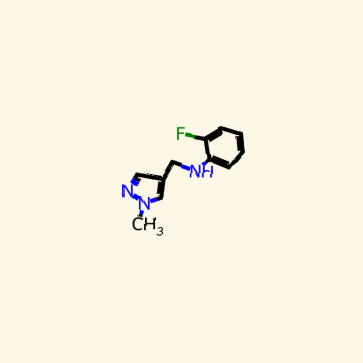 Cn1cc(CNc2ccccc2F)cn1